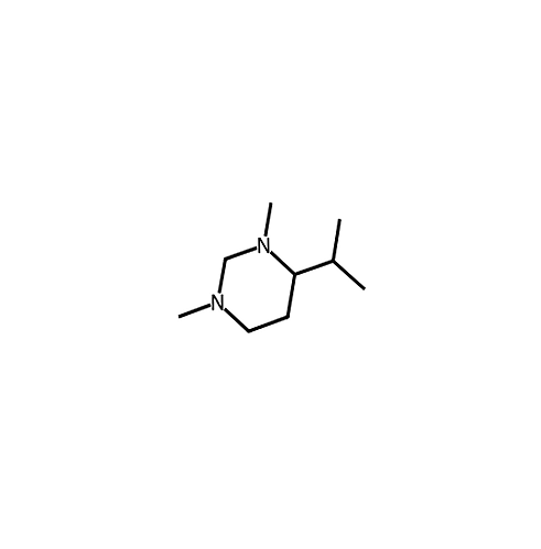 CC(C)C1CCN(C)CN1C